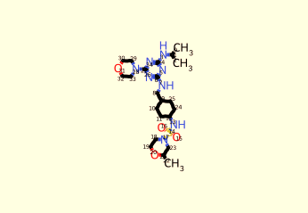 CC(C)Nc1nc(NCC2CCC(NS(=O)(=O)N3CCOC(C)C3)CC2)nc(N2CCOCC2)n1